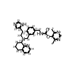 Cc1ncnc(C)c1OC(=O)NCc1cccc(CN(CCc2cnc[nH]2)C2CCCc3cccnc32)c1